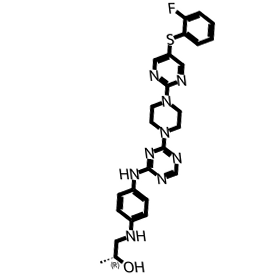 C[C@@H](O)CNc1ccc(Nc2ncnc(N3CCN(c4ncc(Sc5ccccc5F)cn4)CC3)n2)cc1